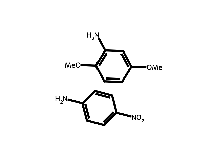 COc1ccc(OC)c(N)c1.Nc1ccc([N+](=O)[O-])cc1